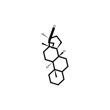 C[C@]12CCCCC1CC[C@@H]1[C@@H]2CC[C@]2(C)[C@@H]3CC[C@@]12OCC3=O